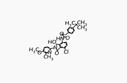 COc1ccc(N2C(=O)c3c(Cl)ccc(NS(=O)(=O)c4ccc(C(C)(C)C)cc4)c3C2O)nc1C